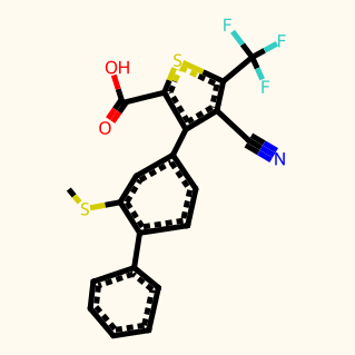 CSc1cc(-c2c(C(=O)O)sc(C(F)(F)F)c2C#N)ccc1-c1ccccc1